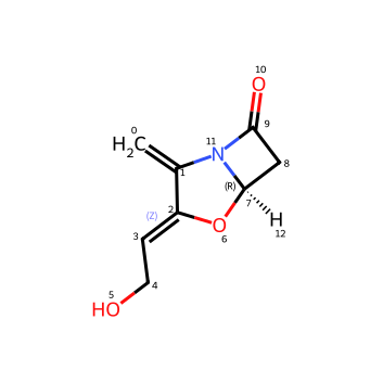 C=C1/C(=C/CO)O[C@@H]2CC(=O)N12